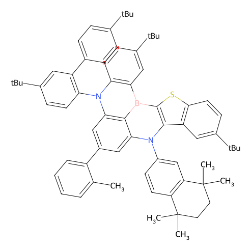 Cc1ccccc1-c1cc2c3c(c1)N(c1ccc4c(c1)C(C)(C)CCC4(C)C)c1c(sc4ccc(C(C)(C)C)cc14)B3c1cc(C(C)(C)C)ccc1N2c1ccc(C(C)(C)C)cc1-c1ccc(C(C)(C)C)cc1